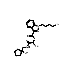 CC(C)(C)C(NC(=O)c1nn(CCCCN)c2ccccc12)C(=O)NCC1(O)CCCC1